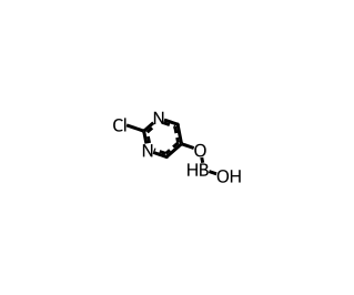 OBOc1cnc(Cl)nc1